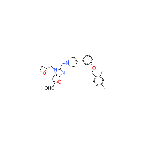 Cc1ccc(COc2cccc(C3=CCN(Cc4nc5oc(C=O)cc5n4CC4CCO4)CC3)c2)c(C)c1